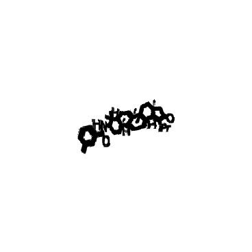 Cc1cccc(C(=O)NC2CC[C@]3(C)[C@H]4CC[C@@H]5C6=C(C(C)C)C(=O)C[C@]6(C)CC[C@@]5(C)[C@]4(C)CC[C@H]3C2(C)C)c1